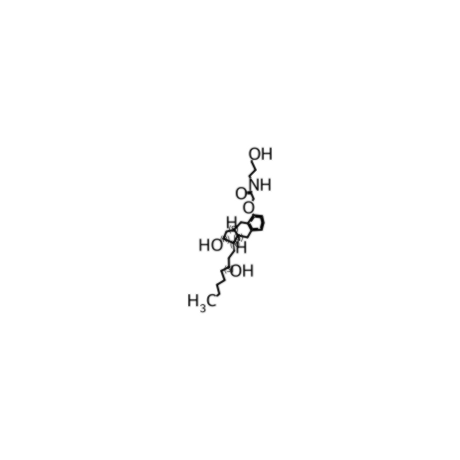 CCCCC[C@H](O)CC[C@@H]1[C@H]2Cc3cccc(OCC(=O)NCCCO)c3C[C@H]2C[C@H]1O